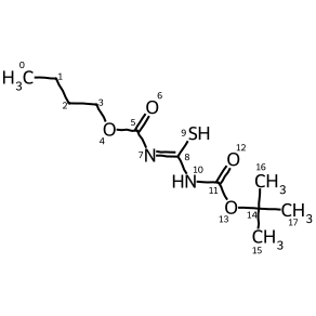 CCCCOC(=O)N=C(S)NC(=O)OC(C)(C)C